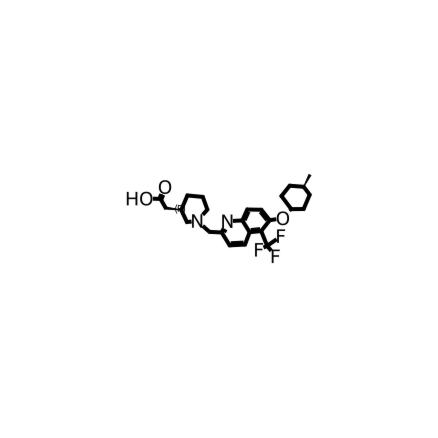 C[C@H]1CC[C@@H](Oc2ccc3nc(CN4CCC[C@H](CC(=O)O)C4)ccc3c2C(F)(F)F)CC1